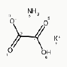 N.O=C([O-])C(=O)O.[K+]